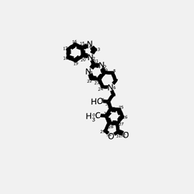 Cc1c(C(O)CN2CCc3nc(-n4cnc5ccccc54)ncc3C2)ccc2c1COC2=O